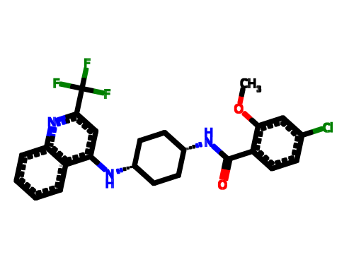 COc1cc(Cl)ccc1C(=O)N[C@H]1CC[C@@H](Nc2cc(C(F)(F)F)nc3ccccc23)CC1